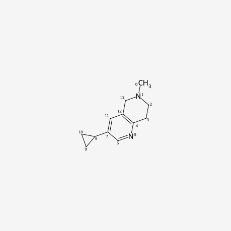 CN1CCc2ncc(C3CC3)cc2C1